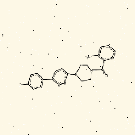 O=C(c1ccccc1C(F)(F)F)N1CCN(c2ccc(-c3ccc(F)cc3)nn2)CC1